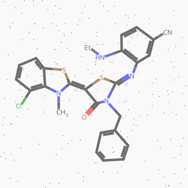 CCNc1ccc(C#N)cc1/N=C1\S/C(=C2\Sc3cccc(Cl)c3N2C)C(=O)N1Cc1ccccc1